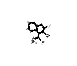 N.O=C(O)c1c(O)c(Cl)cc2ccccc12